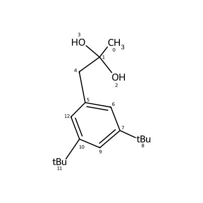 CC(O)(O)Cc1cc(C(C)(C)C)cc(C(C)(C)C)c1